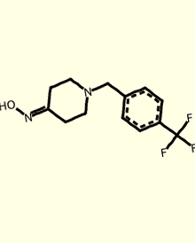 ON=C1CCN(Cc2ccc(C(F)(F)F)cc2)CC1